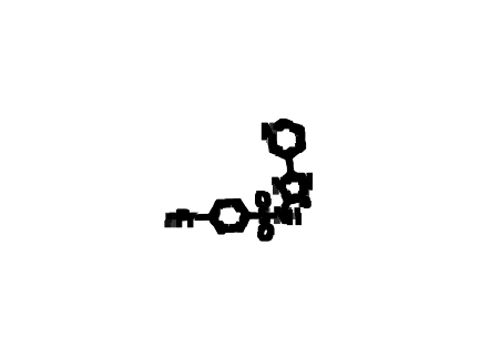 CCCc1ccc(S(=O)(=O)Nc2nc(-c3cccnc3)ns2)cc1